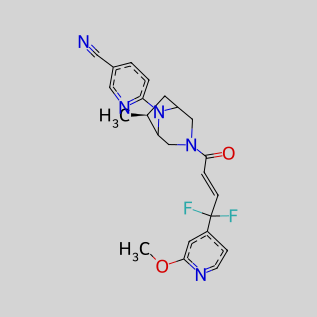 COc1cc(C(F)(F)/C=C/C(=O)N2CC3C[C@H](C)C(C2)N3c2ccc(C#N)cn2)ccn1